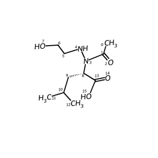 CC(=O)N(NCCO)[C@@H](CC(C)C)C(=O)O